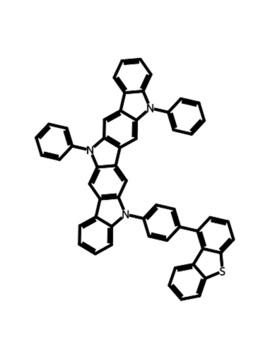 c1ccc(-n2c3ccccc3c3cc4c(cc32)c2cc3c(cc2n4-c2ccccc2)c2ccccc2n3-c2ccc(-c3cccc4sc5ccccc5c34)cc2)cc1